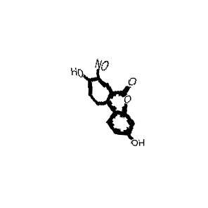 O=NC1=Cc2c(c3ccc(O)cc3oc2=O)CC=C1O